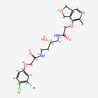 Cc1ncc2c(c1OCC(=O)NC[C@@H](O)CCNC(=O)COc1ccc(Cl)c(F)c1)COC2